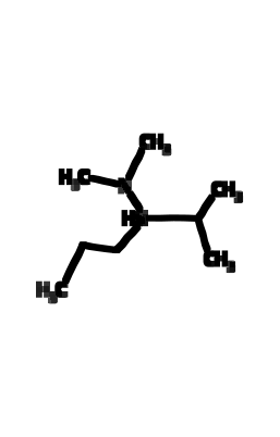 CCC[SiH](C(C)C)N(C)C